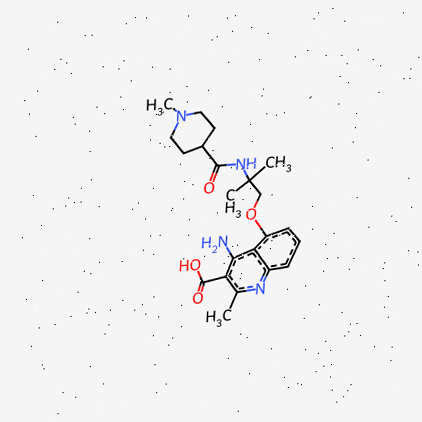 Cc1nc2cccc(OCC(C)(C)NC(=O)C3CCN(C)CC3)c2c(N)c1C(=O)O